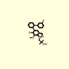 COc1c(F)c(-c2ccccc2-c2cccc(F)c2)cc2cnn(CC(C)(C)O)c12